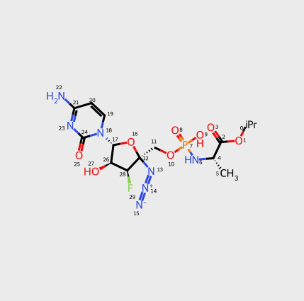 CC(C)OC(=O)[C@H](C)NP(=O)(O)OC[C@@]1(N=[N+]=[N-])O[C@@H](n2ccc(N)nc2=O)[C@H](O)[C@@H]1F